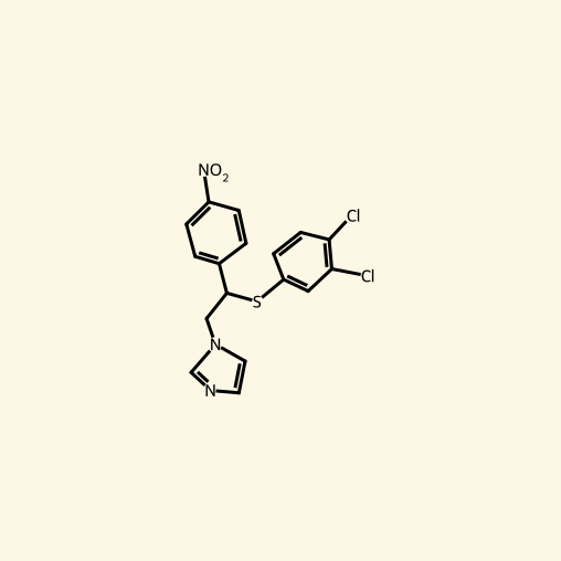 O=[N+]([O-])c1ccc(C(Cn2ccnc2)Sc2ccc(Cl)c(Cl)c2)cc1